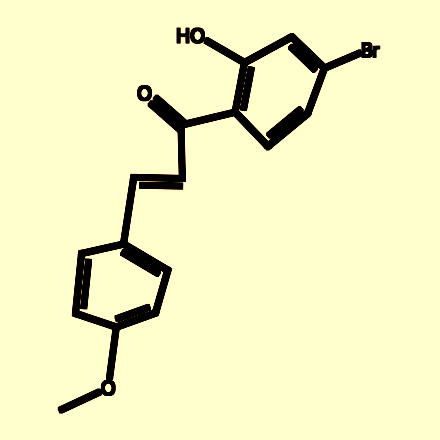 COc1ccc(C=CC(=O)c2ccc(Br)cc2O)cc1